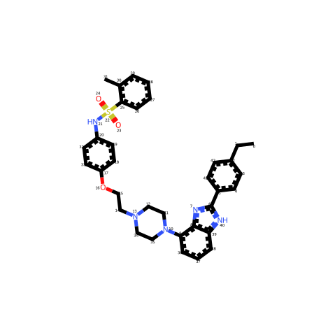 CCc1ccc(-c2nc3c(N4CCN(CCOc5ccc(NS(=O)(=O)c6ccccc6C)cc5)CC4)cccc3[nH]2)cc1